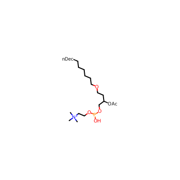 CCCCCCCCCCCCCCCCOCCC(COP(O)OCC[N+](C)(C)C)OC(C)=O